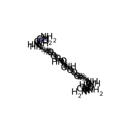 C=C(/N=C(/Cl)CN)C(=O)NC(=N)NCCCCc1ccc(OCCOCCOCCNC(=O)CCC(=O)NCCOCCOCCOc2ccc(CCCCNC(=N)NC(=O)c3nc(Cl)c(N)nc3N)cc2)cc1